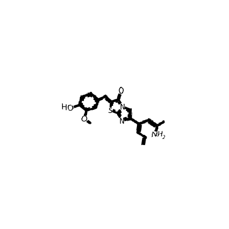 C=C/C=C(\C=C(\C)N)c1cn2c(=O)/c(=C/c3ccc(O)c(OC)c3)sc2n1